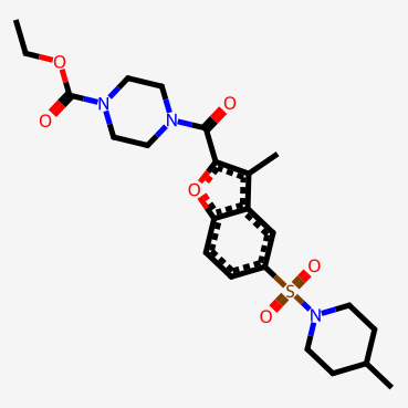 CCOC(=O)N1CCN(C(=O)c2oc3ccc(S(=O)(=O)N4CCC(C)CC4)cc3c2C)CC1